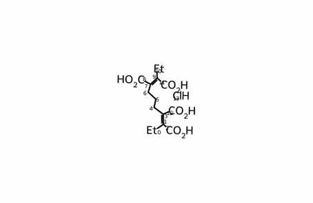 CCC(C(=O)O)=C(CCCC(C(=O)O)=C(CC)C(=O)O)C(=O)O.Cl